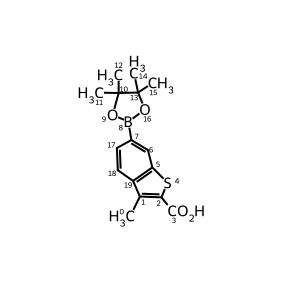 Cc1c(C(=O)O)sc2cc(B3OC(C)(C)C(C)(C)O3)ccc12